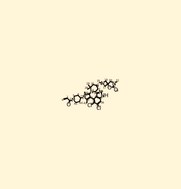 C=CC(=O)N1CCC(n2nc(N3CC[C@@H](CN4CC5(C4)CN(C)C(=O)O5)CC3(C)C)c(-c3c(Cl)c(Cl)cc4[nH]ncc34)c2C)CC1